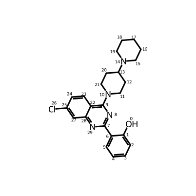 Oc1ccccc1-c1nc(N2CCC(N3CCCCC3)CC2)c2ccc(Cl)cc2n1